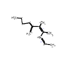 C=C(CCCC)/C(C)=C(C)\N=C/C